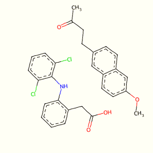 COc1ccc2cc(CCC(C)=O)ccc2c1.O=C(O)Cc1ccccc1Nc1c(Cl)cccc1Cl